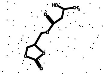 CC(O)CC(=O)OCC1COC(=O)O1